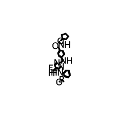 CP(C)(=O)c1ccccc1Nc1nc(Nc2ccc(C(=O)NOC3CCCC3)cc2)ncc1C(F)(F)F